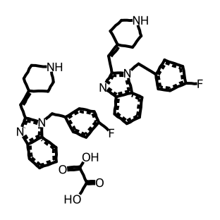 Fc1ccc(Cn2c(C=C3CCNCC3)nc3ccccc32)cc1.Fc1ccc(Cn2c(C=C3CCNCC3)nc3ccccc32)cc1.O=C(O)C(=O)O